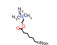 CCCCCCCCCCCCCCC(=O)OCC[N+](C)(C)C